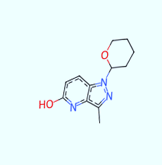 Cc1nn(C2CCCCO2)c2ccc(O)nc12